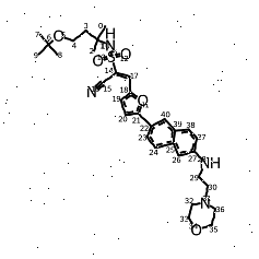 CC(C)(CCOC(C)(C)C)NS(=O)(=O)/C(C#N)=C/c1ccc(-c2ccc3cc(NCCN4CCOCC4)ccc3c2)o1